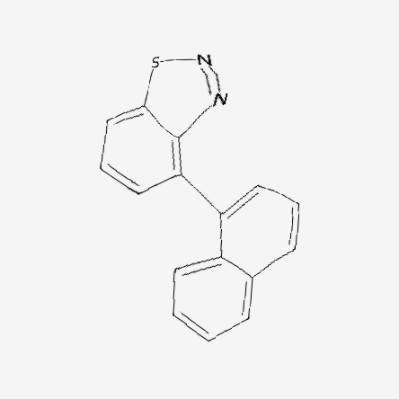 c1ccc2c(-c3cccc4snnc34)cccc2c1